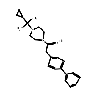 CC(C)(C1CC1)N1CCN(C(=O)Cc2ccc(-c3ccccc3)cc2)CC1.Cl